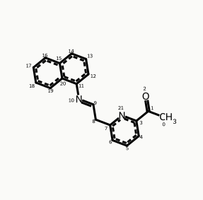 CC(=O)c1cccc(CC=Nc2cccc3ccccc23)n1